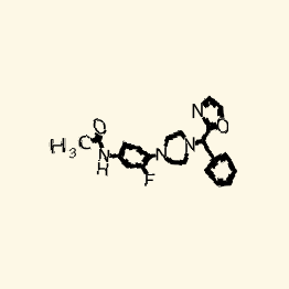 CC(=O)Nc1ccc(N2CCN(C(c3ccccc3)c3ncco3)CC2)c(F)c1